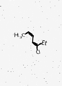 C/C=C\C=C(\Cl)CC